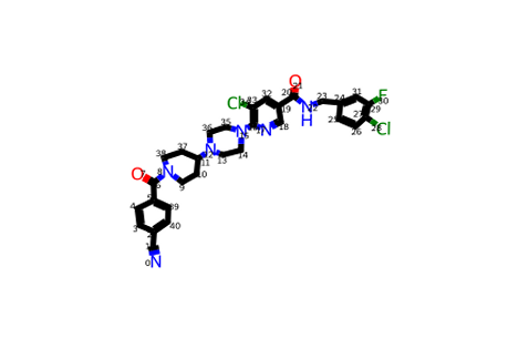 N#Cc1ccc(C(=O)N2CCC(N3CCN(c4ncc(C(=O)NCc5ccc(Cl)c(F)c5)cc4Cl)CC3)CC2)cc1